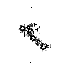 CCc1cccc(N2CCN(c3ccc(NC(=O)C(=O)c4c(-c5ccccc5)cc(C)n4C)cc3)CC2)n1